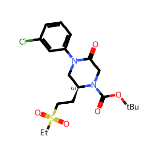 CCS(=O)(=O)CC[C@H]1CN(c2cccc(Cl)c2)C(=O)CN1C(=O)OC(C)(C)C